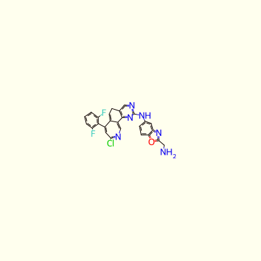 NCc1nc2cc(Nc3ncc4c(n3)C3=CN=C(Cl)C=C(c5c(F)cccc5F)C3=CC4)ccc2o1